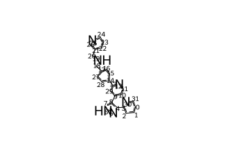 c1ccc(-c2n[nH]cc2-c2ccnc(-c3ccc(CNCc4cccnc4)cc3)c2)nc1